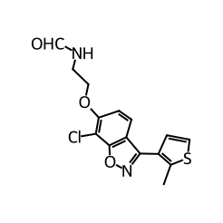 Cc1sccc1-c1noc2c(Cl)c(OCCNC=O)ccc12